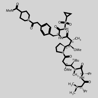 CC[C@H](C)C([C@@H](CC(=O)N1CCC[C@H]1[C@H](OC)[C@@H](C)C(=O)N[C@@H](Cc1ccc(CC(=O)N2CCC(C(=O)NC)CC2)cc1)C(=O)NS(=O)(=O)C1CC1)OC)N(C)C(=O)[C@@H](NC(=O)[C@H](C(C)C)N(C)C)C(C)C